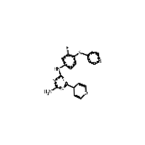 Nc1nc(Nc2ccc(Sc3ccncc3)c(F)c2)cc(C2C=COC=C2)n1